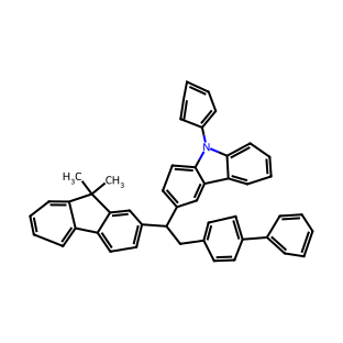 CC1(C)c2ccccc2-c2ccc(C(Cc3ccc(-c4ccccc4)cc3)c3ccc4c(c3)c3ccccc3n4-c3ccccc3)cc21